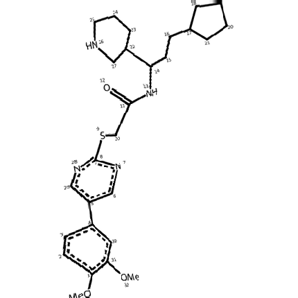 COc1ccc(-c2cnc(SCC(=O)NC(CCC3CCCC3)C3CCCNC3)nc2)cc1OC